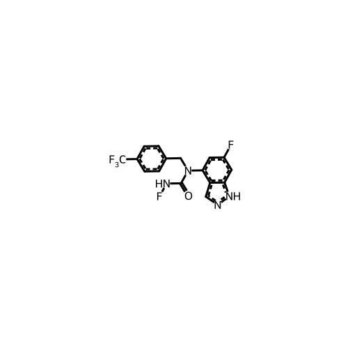 O=C(NF)N(Cc1ccc(C(F)(F)F)cc1)c1cc(F)cc2[nH]ncc12